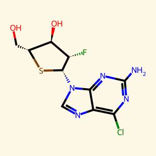 Nc1nc(Cl)c2ncn([C@@H]3S[C@H](CO)[C@@H](O)[C@@H]3F)c2n1